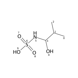 CC(C)C(O)NS(=O)(=O)O